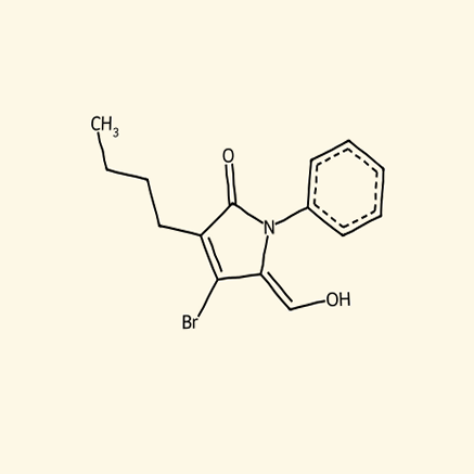 CCCCC1=C(Br)/C(=C/O)N(c2ccccc2)C1=O